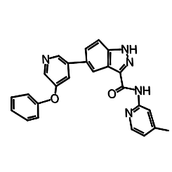 Cc1ccnc(NC(=O)c2n[nH]c3ccc(-c4cncc(Oc5ccccc5)c4)cc23)c1